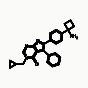 NC1(c2ccc(-c3oc4ncn(CC5CC5)c(=O)c4c3-c3ccccc3)cc2)CCC1